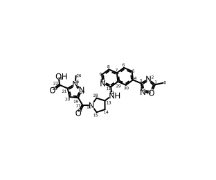 Cc1nc(-c2ccc3ccnc(NC4CCN(C(=O)c5cc(C(=O)O)n(C)n5)C4)c3c2)no1